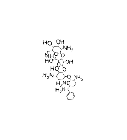 NCC1OC(OC2C(CO)OC(OC3C(O)C(N)CC(N)C3OC3OC(C(N)c4ccccc4)CCC3N)C2O)C(N)C(O)C1O